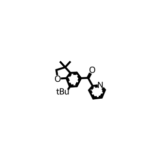 CC(C)(C)c1cc(C(=O)c2ccccn2)cc2c1OCC2(C)C